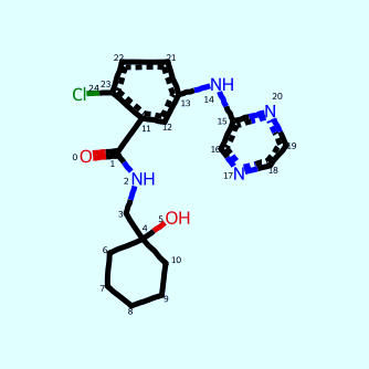 O=C(NCC1(O)CCCCC1)c1cc(Nc2cnccn2)ccc1Cl